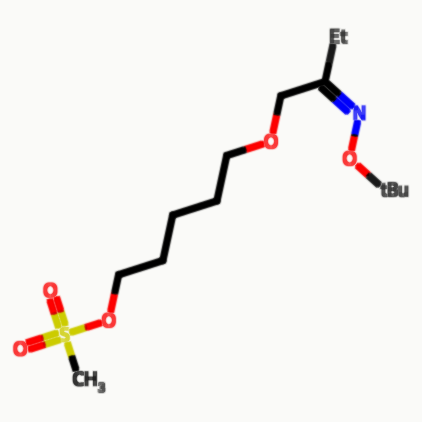 CCC(COCCCCCOS(C)(=O)=O)=NOC(C)(C)C